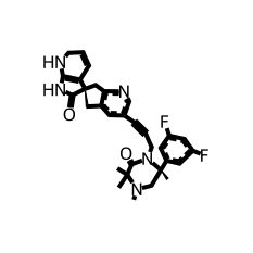 CN1C[C@@](C)(c2cc(F)cc(F)c2)N(CC#Cc2cnc3c(c2)C[C@@]2(C3)C(=O)NC3=C2C=CCN3)C(=O)C1(C)C